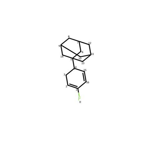 FC1=CC[C](C23CC4CC(CC(C4)C2)C3)C=C1